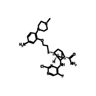 CN1CCN(c2ccc(N)cc2OCCS[C@@H]2CC3C[C@H]2C(Nc2nc(Cl)ncc2F)[C@H]3C(N)=O)CC1